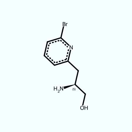 N[C@H](CO)Cc1cccc(Br)n1